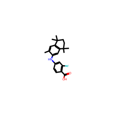 Cc1cc2c(cc1Nc1ccc(C(=O)O)c(F)c1)C(C)(C)CCC2(C)C